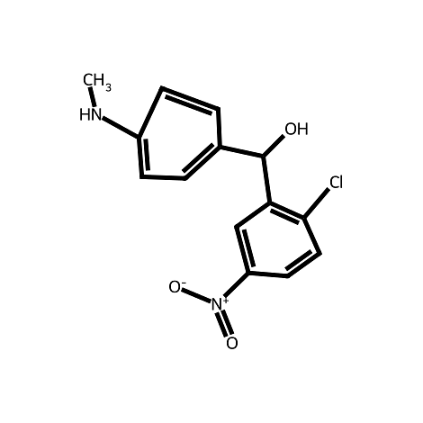 CNc1ccc(C(O)c2cc([N+](=O)[O-])ccc2Cl)cc1